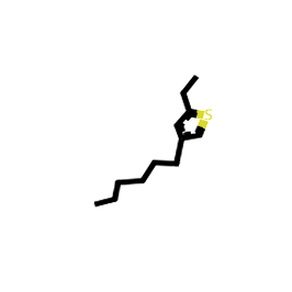 CCCCCCc1csc(CC)c1